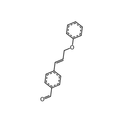 O=Cc1ccc(/C=C/COc2ccccc2)cc1